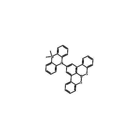 C[Si]1(C)c2ccccc2N(c2cc3c4c(c2)-c2ccccc2SB4Sc2ccccc2-3)c2ccccc21